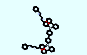 C(/C=C/c1ccc(N(c2ccc(-c3ccc(N(c4ccc(/C=C/C=C/c5ccccc5)cc4)c4ccccc4-c4ccccc4)cc3)cc2)c2ccccc2-c2ccccc2)cc1)=C\c1ccccc1